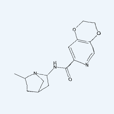 CC1CC2CC(NC(=O)c3cc4c(cn3)OCCO4)N1C2